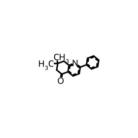 CC1(C)CC(=O)c2ccc(-c3ccccc3)nc2C1